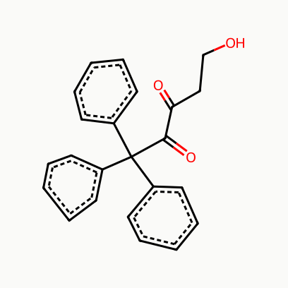 O=C(CCO)C(=O)C(c1ccccc1)(c1ccccc1)c1ccccc1